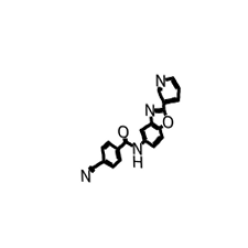 N#Cc1ccc(C(=O)Nc2ccc3oc(-c4cccnc4)nc3c2)cc1